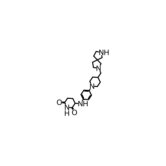 O=C1CCC(Nc2ccc(N3CCC(CN4CCC5(CCNC5)C4)CC3)cc2)C(=O)N1